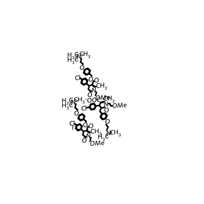 COCCN1C(=O)C(Cc2ccc(OCCCN(C)C)cc2)C(c2ccc(Cl)cc2)C(C(=O)[O-])=C1C.COCCN1C(=O)CC(c2ccc(Cl)cc2)C(C(=O)OCc2ccc(OCCC[N+](C)(C)C)cc2)=C1C.COCCN1C(=O)CC(c2ccc(Cl)cc2)C(C(=O)OCc2ccc(OCCC[N+](C)(C)C)cc2)=C1C.[I-]